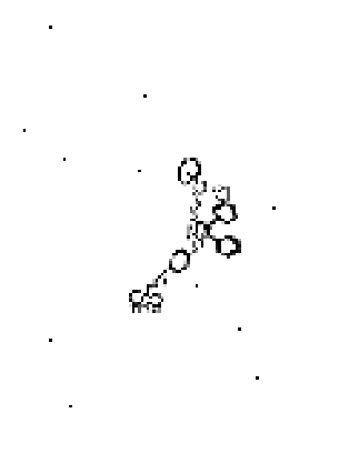 CC(C)(C)OC(=O)COC[C@H]1CC[C@H](Cn2nc(SCCOC3CCCCO3)c(-c3cccc(Cl)c3)c2-c2ccccc2)CC1